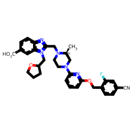 C[C@H]1CN(c2cccc(OCc3ccc(C#N)cc3F)n2)CCN1Cc1nc2ccc(C(=O)O)cc2n1CC1CCCO1